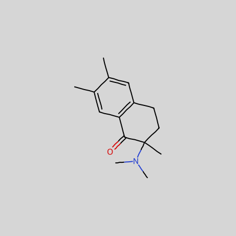 Cc1cc2c(cc1C)C(=O)C(C)(N(C)C)CC2